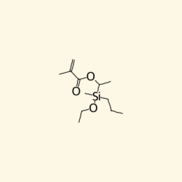 C=C(C)C(=O)OC(C)[Si](C)(CCC)OCC